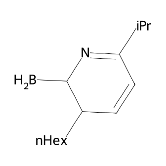 BC1N=C(C(C)C)C=CC1CCCCCC